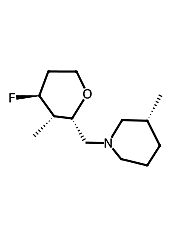 C[C@@H]1CCCN(C[C@H]2OCC[C@H](F)[C@H]2C)C1